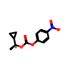 C[C@H](OC(=O)Oc1ccc([N+](=O)[O-])cc1)C1CC1